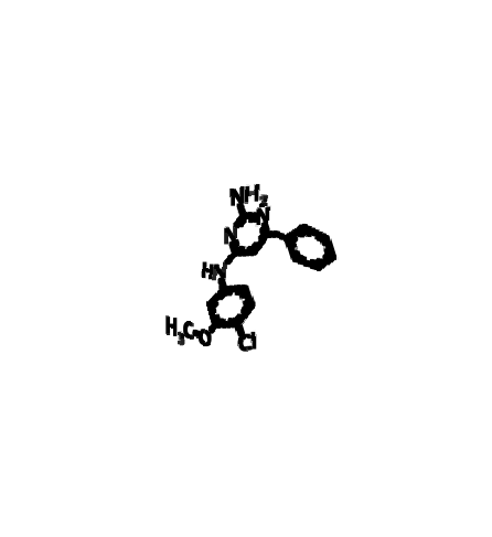 COc1cc(Nc2cc(-c3ccccc3)nc(N)n2)ccc1Cl